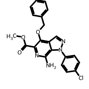 COC(=O)c1nc(N)c2c(cnn2-c2ccc(Cl)cc2)c1OCc1ccccc1